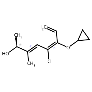 C=C/C(OC1CC1)=C(Cl)\C=C(/C)[C@H](C)O